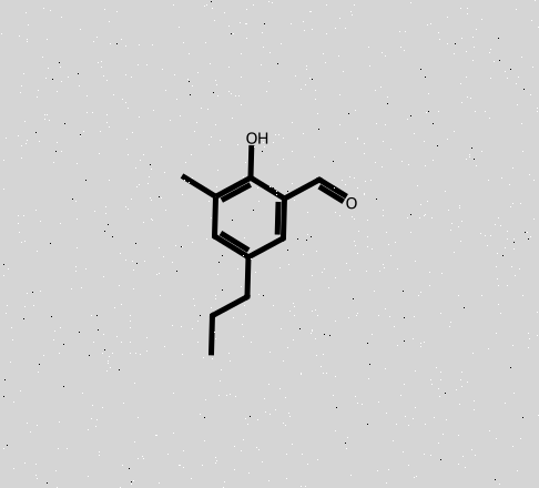 CCCc1cc(C)c(O)c(C=O)c1